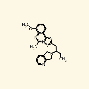 CCC(Cc1nc2c3cccc(OC)c3nc(N)n2n1)N1Cc2cccnc2C1